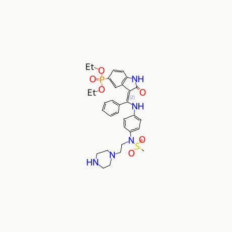 CCOP(=O)(OCC)c1ccc2c(c1)/C(=C(/Nc1ccc(N(CCN3CCNCC3)S(C)(=O)=O)cc1)c1ccccc1)C(=O)N2